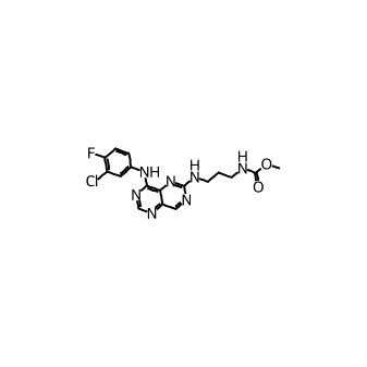 COC(=O)NCCCNc1ncc2ncnc(Nc3ccc(F)c(Cl)c3)c2n1